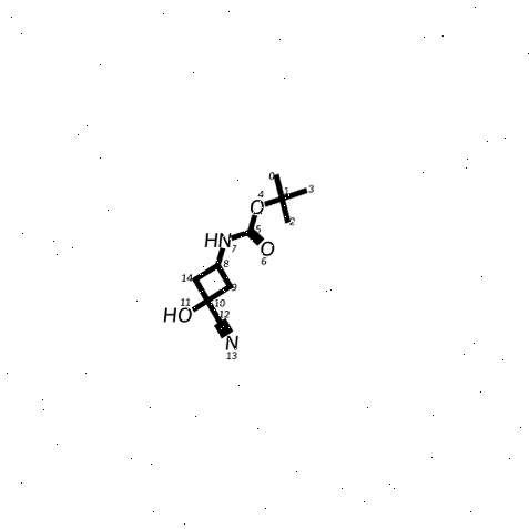 CC(C)(C)OC(=O)NC1CC(O)(C#N)C1